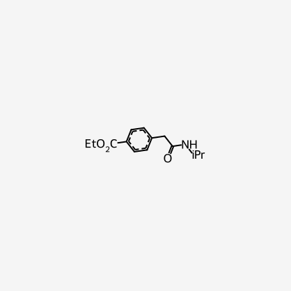 CCOC(=O)c1ccc(CC(=O)NC(C)C)cc1